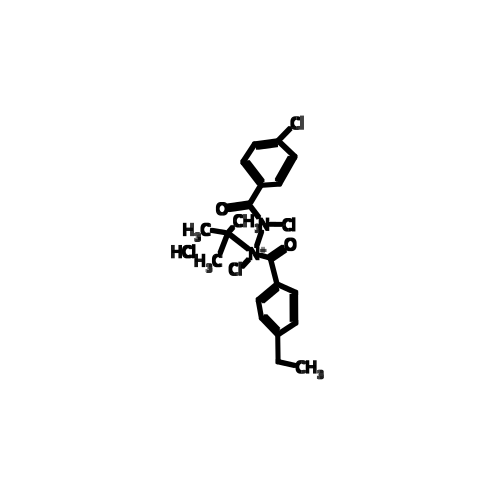 CCc1ccc(C(=O)[N+](Cl)(N(Cl)C(=O)c2ccc(Cl)cc2)C(C)(C)C)cc1.Cl